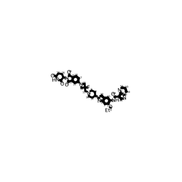 CCOc1cc2nn(C3CCN(CC4(F)CN(c5ccc6c(c5)C(=O)N(C5CCC(=O)NC5=O)C6=O)C4)CC3)cc2cc1NC(=O)c1cnn2cccnc12